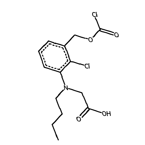 CCCCN(CC(=O)O)c1cccc(COC(=O)Cl)c1Cl